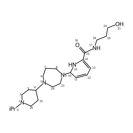 CC(C)N1CCC(N2CCCN(C3C=CC=C(C(=O)NCCCO)N3)CC2)CC1